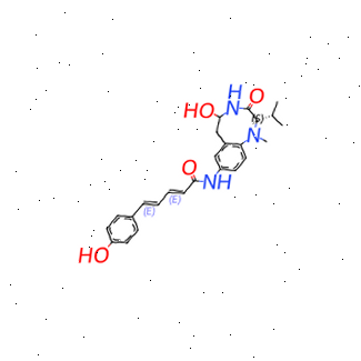 CC(C)[C@H]1C(=O)NC(O)Cc2cc(NC(=O)/C=C/C=C/c3ccc(O)cc3)ccc2N1C